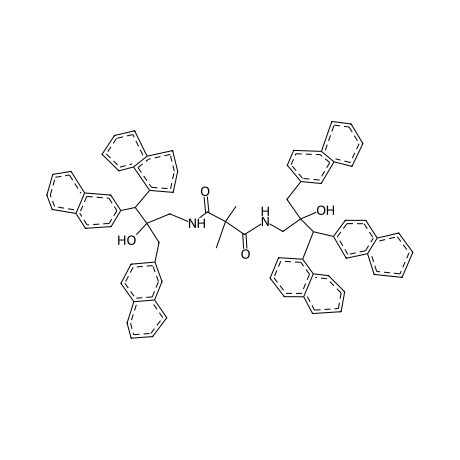 CC(C)(C(=O)NCC(O)(Cc1ccc2ccccc2c1)C(c1ccc2ccccc2c1)c1cccc2ccccc12)C(=O)NCC(O)(Cc1ccc2ccccc2c1)C(c1ccc2ccccc2c1)c1cccc2ccccc12